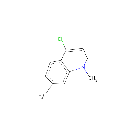 CN1CC=C(Cl)c2ccc(C(F)(F)F)cc21